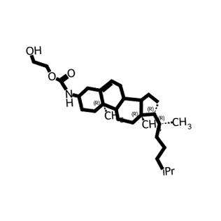 CC(C)CCC[C@@H](C)[C@H]1CCC2C3CC=C4CC(NC(=O)OCCO)CC[C@]4(C)C3CC[C@@]21C